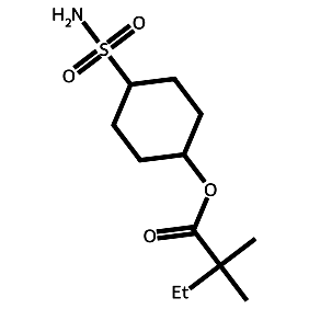 CCC(C)(C)C(=O)OC1CCC(S(N)(=O)=O)CC1